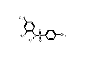 Cc1ccc(S(=O)(=O)N(C)c2ccc([N+](=O)[O-])cc2C)cc1